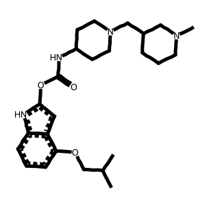 CC(C)COc1cccc2[nH]c(OC(=O)NC3CCN(CC4CCCN(C)C4)CC3)cc12